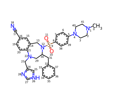 CN1CCN(c2ccc(S(=O)(=O)N3Cc4cc(C#N)ccc4N(Cc4c[nH]cn4)CC3Cc3ccccc3)cc2)CC1